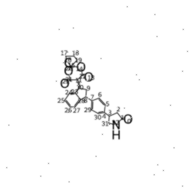 O=C1CC(c2ccc(C3CC(=C4C(=O)OC5(CCCC5)OC4=O)c4ccccc43)cc2)CN1